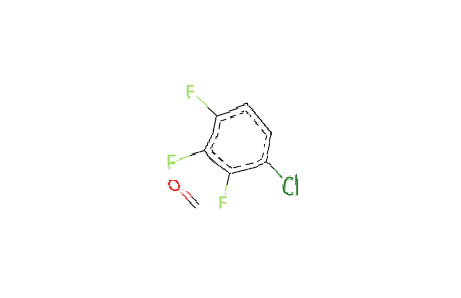 C=O.Fc1ccc(Cl)c(F)c1F